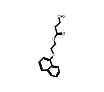 O=CCCC(=O)OCCOc1cccc2ccccc12